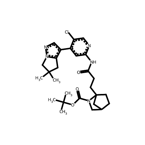 CC1(C)Cc2c(-c3cc(NC(=O)CCC45CCC(CN4C(=O)OC(C)(C)C)C5)ncc3Cl)cnn2C1